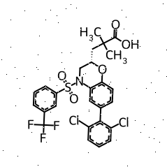 CC(C)(C[C@H]1CN(S(=O)(=O)c2cccc(C(F)(F)F)c2)c2cc(-c3c(Cl)cccc3Cl)ccc2O1)C(=O)O